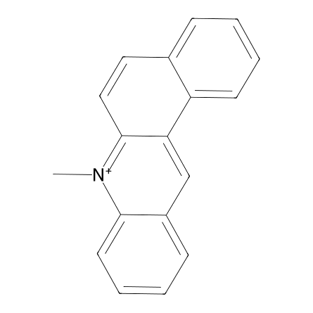 C[n+]1c2ccccc2cc2c3ccccc3ccc21